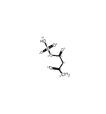 CC(=O)CC(=O)OS(=O)(=O)O